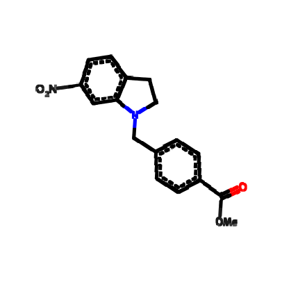 COC(=O)c1ccc(CN2CCc3ccc([N+](=O)[O-])cc32)cc1